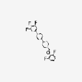 Fc1cc(-c2ccc(C3CCC(COc4c(F)cccc4F)CC3)cc2)cc(F)c1F